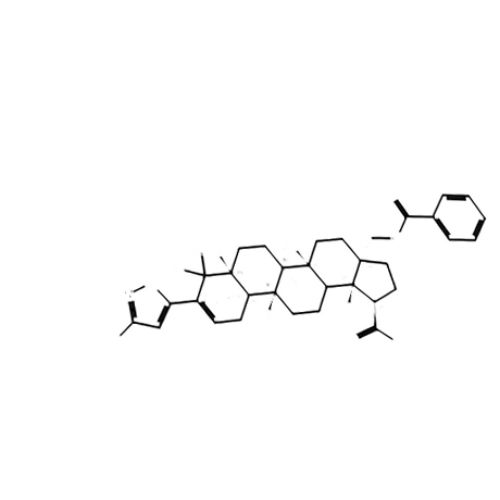 C=C(C)[C@@H]1CC[C@]2(COC(=O)c3ccccc3)CC[C@]3(C)C(CC[C@@H]4[C@@]5(C)CC=C(c6cc(C(=O)OCC)no6)C(C)(C)[C@@H]5CC[C@]43C)[C@@H]12